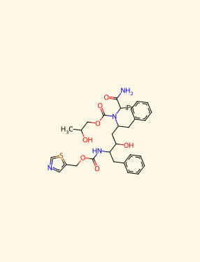 CC(O)COC(=O)N(C(Cc1ccccc1)CC(O)C(Cc1ccccc1)NC(=O)OCc1cncs1)C(C(N)=O)C(C)C